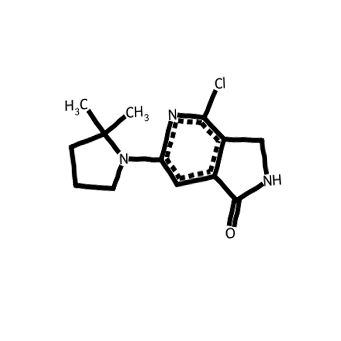 CC1(C)CCCN1c1cc2c(c(Cl)n1)CNC2=O